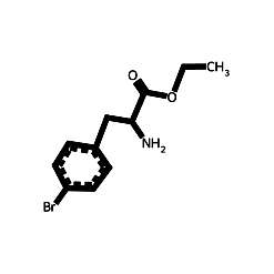 CCOC(=O)C(N)Cc1ccc(Br)cc1